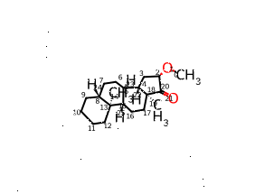 CO[C@@H]1C[C@H]2[C@@H]3CC[C@H]4CCCC[C@]4(C)[C@H]3CC[C@]2(C)C1=O